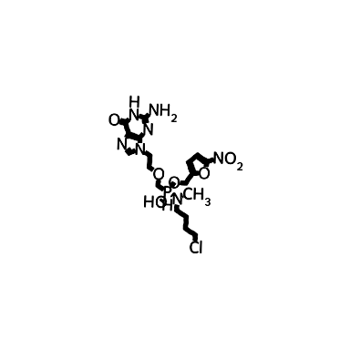 CN(CCCCCl)[PH](O)(COCCn1cnc2c(=O)[nH]c(N)nc21)OCc1ccc([N+](=O)[O-])o1